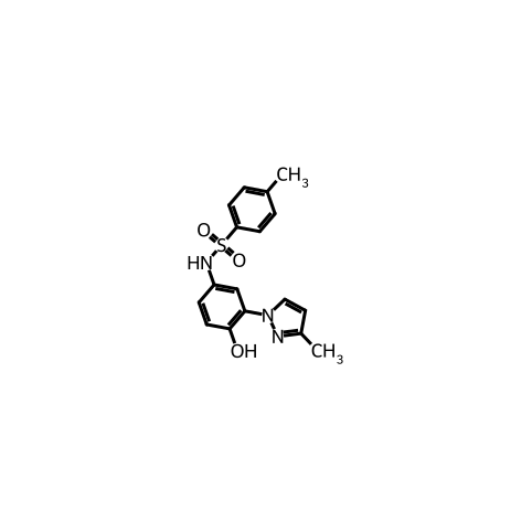 Cc1ccc(S(=O)(=O)Nc2ccc(O)c(-n3ccc(C)n3)c2)cc1